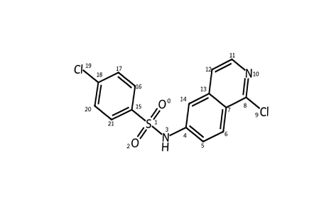 O=S(=O)(Nc1ccc2c(Cl)nccc2c1)c1ccc(Cl)cc1